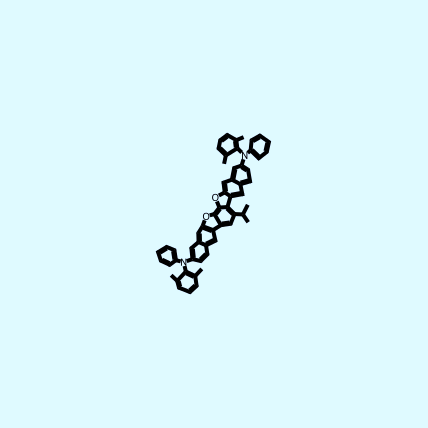 Cc1cccc(C)c1N(c1ccccc1)c1ccc2cc3c(cc2c1)oc1c3cc(C(C)C)c2c3cc4ccc(N(c5ccccc5)c5c(C)cccc5C)cc4cc3oc12